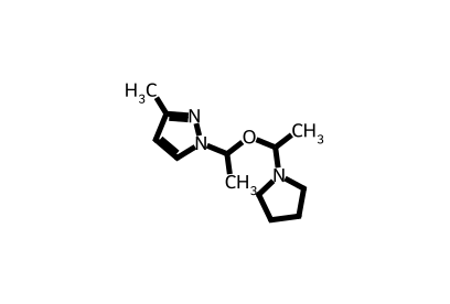 Cc1ccn(C(C)OC(C)N2CCCC2)n1